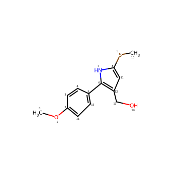 COc1ccc(-c2[nH]c(SC)cc2CO)cc1